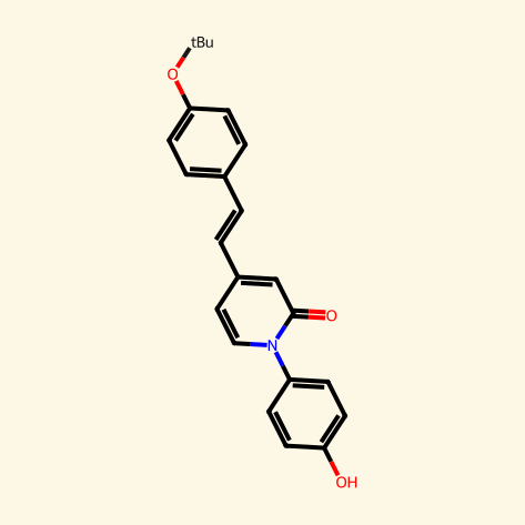 CC(C)(C)Oc1ccc(/C=C/c2ccn(-c3ccc(O)cc3)c(=O)c2)cc1